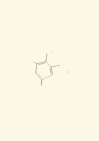 O=C(O)c1cc(O)c(O)c(O)c1.[Nb]